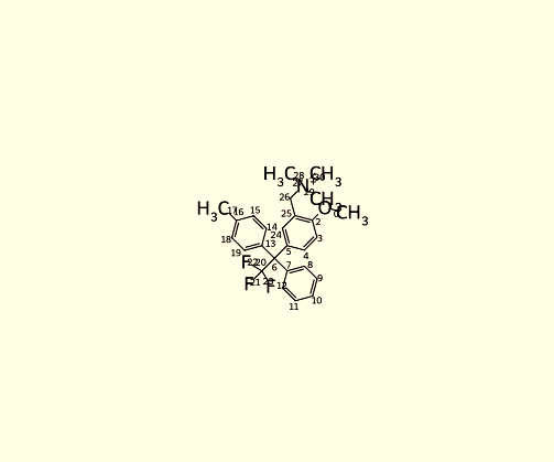 COc1ccc(C(c2ccccc2)(c2ccc(C)cc2)C(F)(F)F)cc1C[N+](C)(C)C